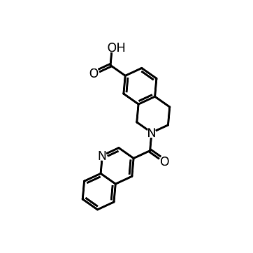 O=C(O)c1ccc2c(c1)CN(C(=O)c1cnc3ccccc3c1)CC2